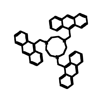 c1ccc2c(CN3CCN(Cc4c5ccccc5cc5ccccc45)CCN(Cc4c5ccccc5cc5ccccc45)CC3)c3ccccc3cc2c1